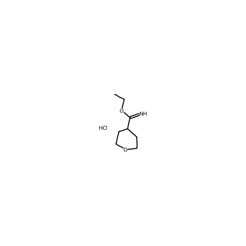 CCOC(=N)C1CCOCC1.Cl